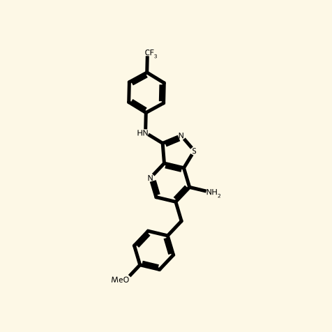 COc1ccc(Cc2cnc3c(Nc4ccc(C(F)(F)F)cc4)nsc3c2N)cc1